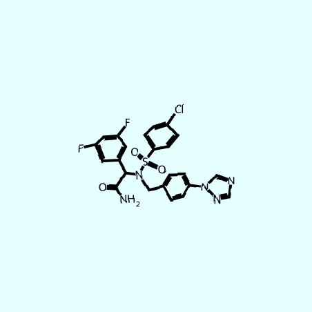 NC(=O)C(c1cc(F)cc(F)c1)N(Cc1ccc(-n2cncn2)cc1)S(=O)(=O)c1ccc(Cl)cc1